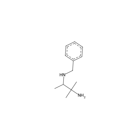 CC(NCc1ccccc1)C(C)(C)N